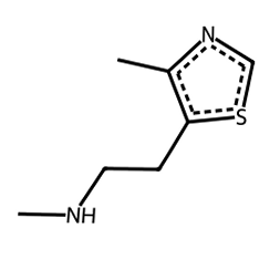 CNCCc1scnc1C